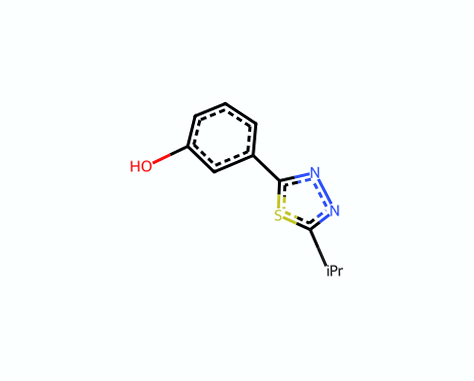 CC(C)c1nnc(-c2cccc(O)c2)s1